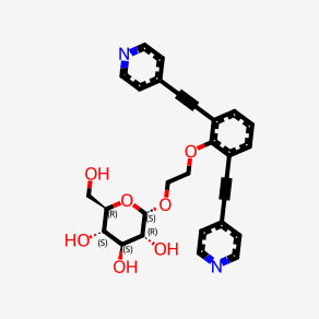 OC[C@H]1O[C@H](OCCOc2c(C#Cc3ccncc3)cccc2C#Cc2ccncc2)[C@H](O)[C@@H](O)[C@@H]1O